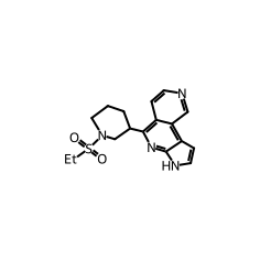 CCS(=O)(=O)N1CCCC(c2nc3[nH]ccc3c3cnccc23)C1